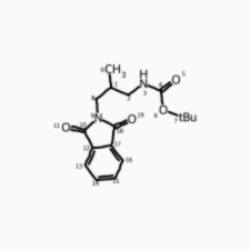 CC(CNC(=O)OC(C)(C)C)CN1C(=O)c2ccccc2C1=O